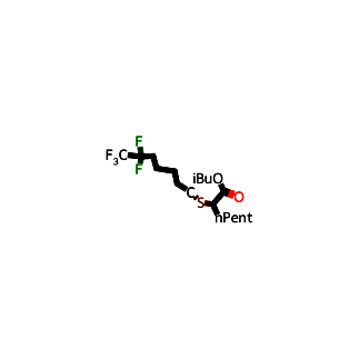 CCCCCC(SCCCCCC(F)(F)C(F)(F)F)C(=O)OCC(C)C